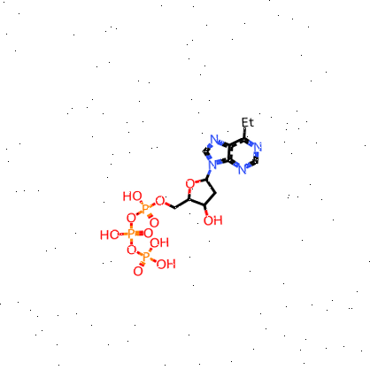 CCc1ncnc2c1ncn2C1CC(O)C(COP(=O)(O)OP(=O)(O)OP(=O)(O)O)O1